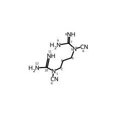 N#CN(CCCN(C#N)C(=N)N)C(=N)N